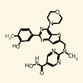 Cc1ccc(-c2nc(N3CCOCC3)c3sc(CN(C)c4ncc(C(=O)NO)cn4)cc3n2)cc1O